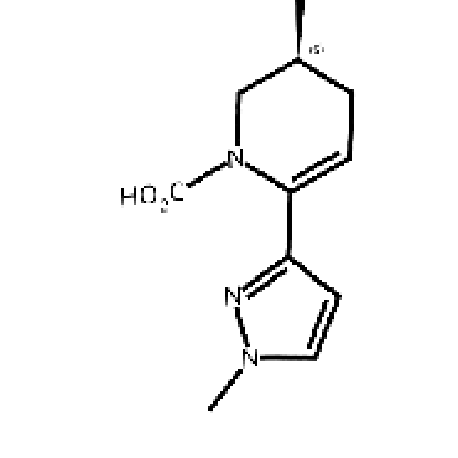 C[C@H]1CC=C(c2ccn(C)n2)N(C(=O)O)C1